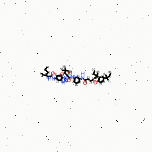 CCCC(CC)CC(=O)Nc1ccc2c(c1)nnn2C(Cl)(C(=O)Nc1cccc(NC(=O)CCCOc2ccc(C(C)(C)CC)cc2C(C)(C)CC)c1)C(=O)C(C)(C)C